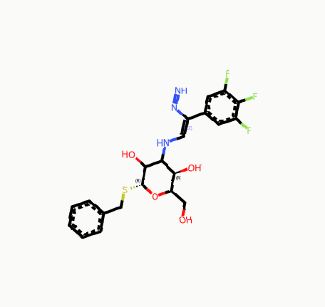 N=N/C(=C\NC1C(O)[C@@H](SCc2ccccc2)OC(CO)[C@@H]1O)c1cc(F)c(F)c(F)c1